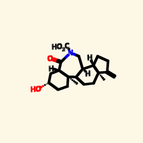 C=C1CC[C@H]2[C@@H]3CN(C(=O)O)C(=O)[C@H]4C[C@@H](O)CC[C@]4(C)C3CC[C@]12C